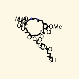 COc1cc2cc(c1Cl)N(C)C(=O)CC(OC(=O)CN1CCN(C(=O)CCC(C)(C)S)CC1)C1(C)OC1C(C)C1CC(O)(NC(=O)O1)C(OC)/C=C/C=C(\C)C2